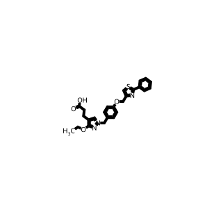 CCOc1nn(Cc2ccc(OCc3csc(-c4ccccc4)n3)cc2)cc1CCC(=O)O